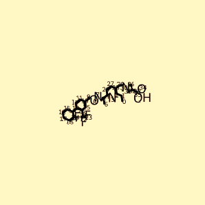 CCc1nc(/C(C)=N/OCc2ccc(C3CCCCC3)c(C(F)(F)F)c2)ccc1CN1CC(C(=O)O)C1